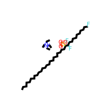 CCCCCCCCCCCCCCCCCCCCCCCC(C(F)C(F)CCCCCCCCCF)S(=O)(=O)[O-].CC[N+](CC)(CC)CC